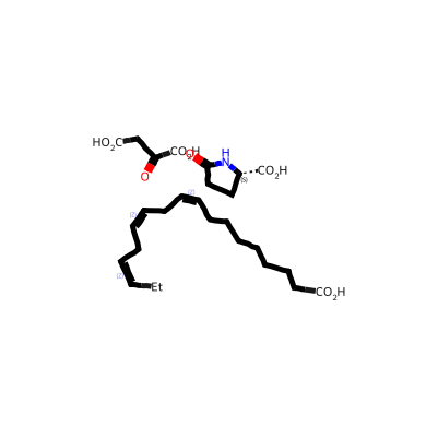 CC/C=C\C/C=C\C/C=C\CCCCCCCC(=O)O.O=C(O)CC(=O)C(=O)O.O=C1CC[C@@H](C(=O)O)N1